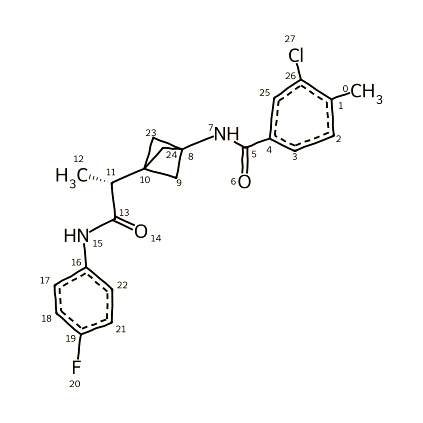 Cc1ccc(C(=O)NC23CC([C@@H](C)C(=O)Nc4ccc(F)cc4)(C2)C3)cc1Cl